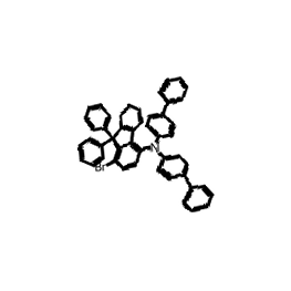 Brc1ccc(N(c2ccc(-c3ccccc3)cc2)c2ccc(-c3ccccc3)cc2)c2c1C(c1ccccc1)(c1ccccc1)C1=C2C=CCC1